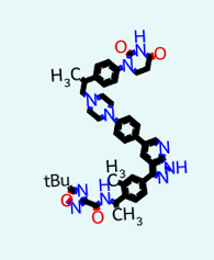 Cc1cc(-c2n[nH]c3ncc(-c4ccc(N5CCN(CC(C)c6ccc(N7CCC(=O)NC7=O)cc6)CC5)cc4)cc23)ccc1C(C)NC(=O)c1noc(C(C)(C)C)n1